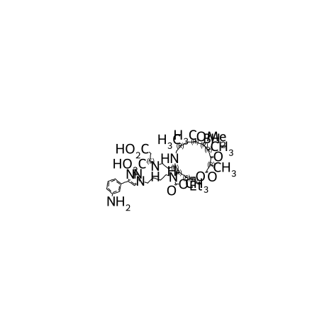 B[C@@H]1[C@@H](C)C(=O)[C@@H](C)C(=O)O[C@H](CC)[C@@]2(C)OC(=O)N(CCCCn3cc(-c4cccc(N)c4)nn3)[C@@H]2[C@@H](CCN[C@@H](CC(=O)O)C(=O)O)NC[C@H](C)C[C@@]1(C)OC